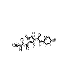 Cc1c(C(=O)Nc2ccc(F)cn2)c(C)n(C)c1C(=O)C(=O)NC(C)(C)C